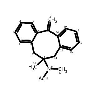 C=C1c2ccccc2CC(C)(N(C)C(C)=O)Cc2ccccc21